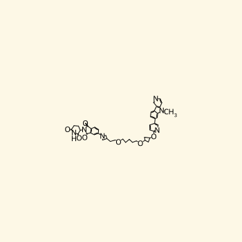 Cn1c2ccncc2c2ccc(-c3ccc(OC4CC(OCCCCCOCCC5CN(c6ccc7c(c6)C(=O)N(C6CCC(=O)NC6=O)C7=O)C5)C4)nc3)cc21